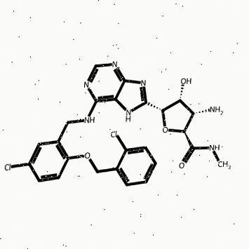 CNC(=O)[C@H]1O[C@H](c2nc3ncnc(NCc4cc(Cl)ccc4OCc4ccccc4Cl)c3[nH]2)[C@H](O)[C@@H]1N